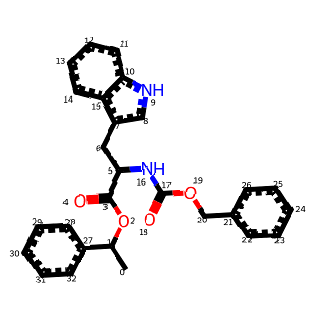 CC(OC(=O)C(Cc1c[nH]c2ccccc12)NC(=O)OCc1ccccc1)c1ccccc1